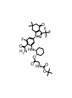 CC1(C)CC(=O)c2c(C(F)(F)F)nn(-c3cc(F)c(C(N)=O)c(N[C@H]4CCCC[C@@H]4OC(=O)CNC(=O)OC(C)(C)C)c3)c2C1